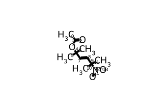 CC(=O)OC(C)(C)C=CC(C)(C)[N+](=O)[O-]